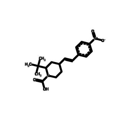 CC(C)(C)C1CC(C=Cc2ccc([N+](=O)[O-])cc2)CCN1C(=O)O